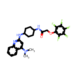 CN(C)c1cc(NC2CCC(NC(=O)COc3c(F)c(F)c(F)c(F)c3F)CC2)nc2ccccc12